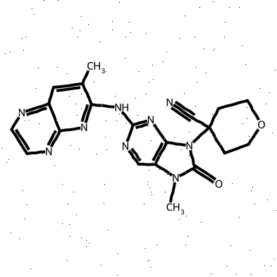 Cc1cc2nccnc2nc1Nc1ncc2c(n1)n(C1(C#N)CCOCC1)c(=O)n2C